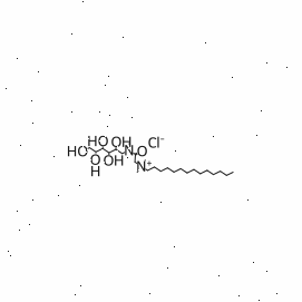 CCCCCCCCCCCCCC[N+](C)(C)CC(=O)N(C)C[C@H](O)[C@@H](O)[C@H](O)[C@H](O)CO.[Cl-]